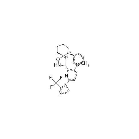 COc1ccc(-n2ccnc2C(F)(F)F)nc1C1=C[C@]2(CCCC[C@H]2c2ccccc2)ON1